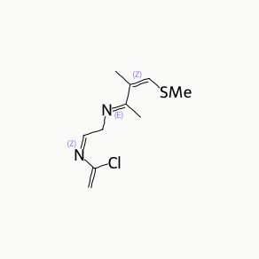 C=C(Cl)/N=C\C/N=C(C)/C(C)=C\SC